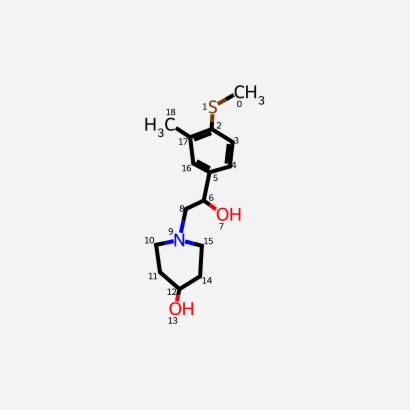 CSc1ccc(C(O)CN2CCC(O)CC2)cc1C